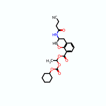 CC(OC(=O)OC1CCCCC1)OC(=O)c1cccc2c1OBC(NC(=O)CCC#N)C2